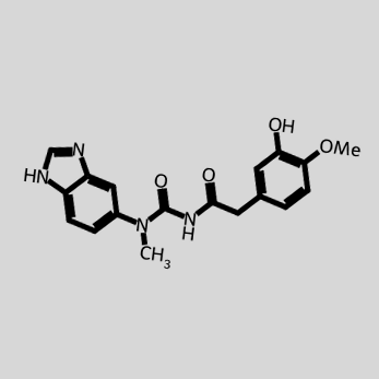 COc1ccc(CC(=O)NC(=O)N(C)c2ccc3[nH]cnc3c2)cc1O